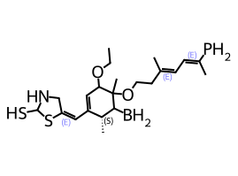 BC1[C@H](C)C(/C=C2\CNC(S)S2)=CC(OCC)C1(C)OCC/C(C)=C/C=C(\C)P